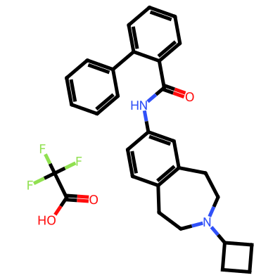 O=C(Nc1ccc2c(c1)CCN(C1CCC1)CC2)c1ccccc1-c1ccccc1.O=C(O)C(F)(F)F